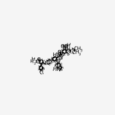 CN(C)C[C@@H]1CSc2cc(S(=O)(=O)NC(=O)c3ccc(N4CCN(CC5=C(c6ccc(Cl)cc6)CC(C)(C)CC5)CC4)cc3Oc3cnc4[nH]ccc4c3)cc([N+](=O)[O-])c2N1